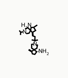 C=C1CC[C@@H](N)C12CCN(C(C)(C)C/C=C1\CC(C)[C@@H](N)C13CCN(C(C)C)CC3)CC2